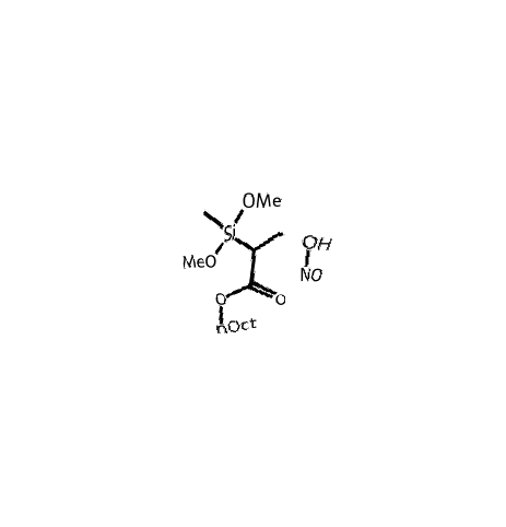 CCCCCCCCOC(=O)C(C)[Si](C)(OC)OC.O=NO